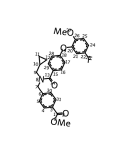 COC(=O)c1ccc(CN(CC2CC2)C(=O)c2ccc(Oc3cc(F)ccc3OC)cc2)cc1